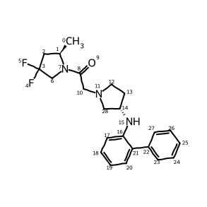 C[C@@H]1CC(F)(F)CN1C(=O)CN1CC[C@H](Nc2ccccc2-c2ccccc2)C1